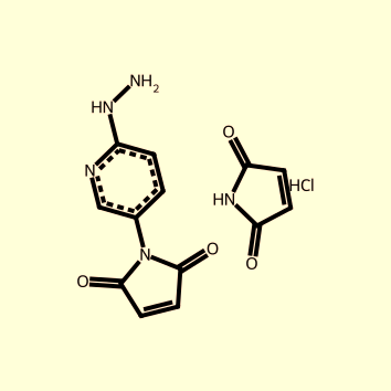 Cl.NNc1ccc(N2C(=O)C=CC2=O)cn1.O=C1C=CC(=O)N1